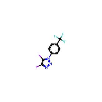 FC(F)(F)c1ccc(-n2nnc(I)c2I)cc1